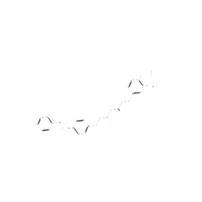 COc1cc(CCC(=O)CC(O)CCc2ccc(OCc3ccccc3)cc2)ccc1O